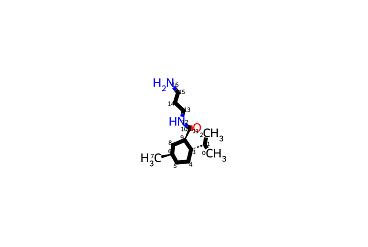 CC(C)[C@@H]1CC[C@@H](C)C[C@H]1C(=O)NCCCN